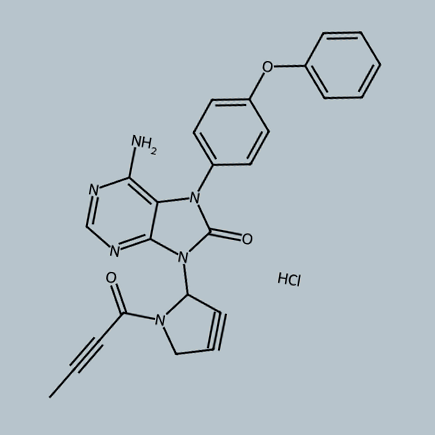 CC#CC(=O)N1CC#CC1n1c(=O)n(-c2ccc(Oc3ccccc3)cc2)c2c(N)ncnc21.Cl